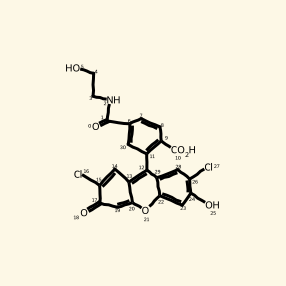 O=C(NCCO)c1ccc(C(=O)O)c(-c2c3cc(Cl)c(=O)cc-3oc3cc(O)c(Cl)cc23)c1